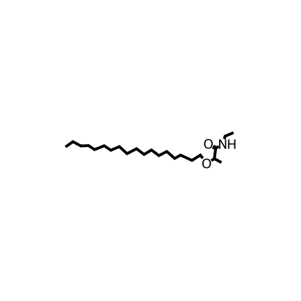 CCCCCCCCCCCCCCCCCCOC(C)C(=O)NCC